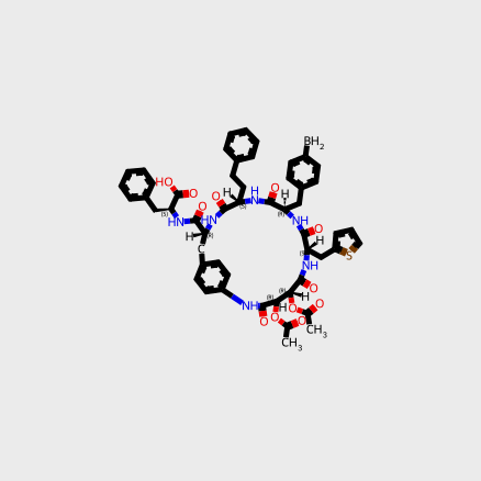 Bc1ccc(C[C@H]2NC(=O)[C@H](Cc3cccs3)NC(=O)[C@H](OC(C)=O)[C@@H](OC(C)=O)C(=O)Nc3ccc(cc3)C[C@H](C(=O)N[C@@H](Cc3ccccc3)C(=O)O)NC(=O)[C@H](CCc3ccccc3)NC2=O)cc1